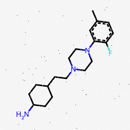 Cc1ccc(F)c(N2CCN(CCC3CCC(N)CC3)CC2)c1